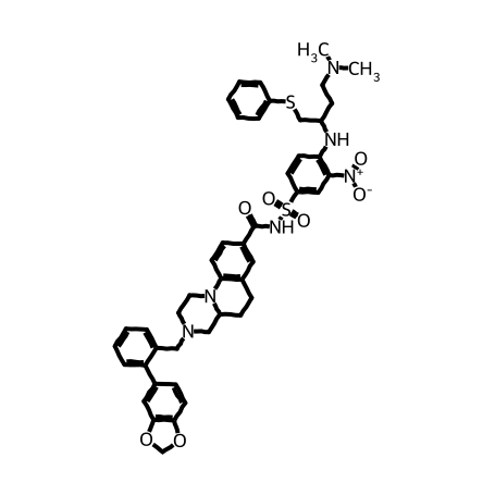 CN(C)CCC(CSc1ccccc1)Nc1ccc(S(=O)(=O)NC(=O)c2ccc3c(c2)CCC2CN(Cc4ccccc4-c4ccc5c(c4)OCO5)CCN32)cc1[N+](=O)[O-]